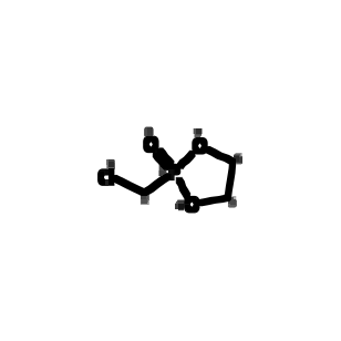 O=P1(CCl)OCCO1